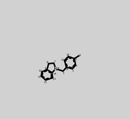 Cc1ccc(CN2CCc3ccccc32)cc1